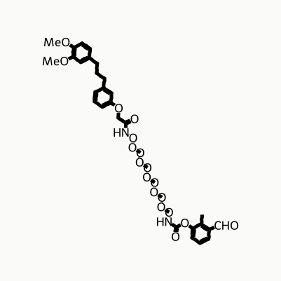 COc1ccc(CCCc2cccc(OCC(=O)NOOOOOOOOOOONC(=O)Oc3cccc(C=O)c3C)c2)cc1OC